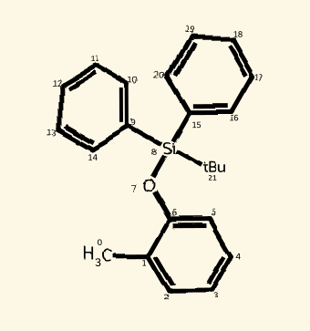 Cc1cc[c]cc1O[Si](c1ccccc1)(c1ccccc1)C(C)(C)C